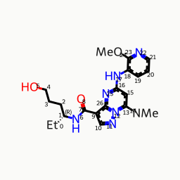 CC[C@H](CCCO)NC(=O)c1cnn2c(NC)cc(Nc3cccnc3OC)nc12